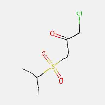 CC(C)S(=O)(=O)CC(=O)CCl